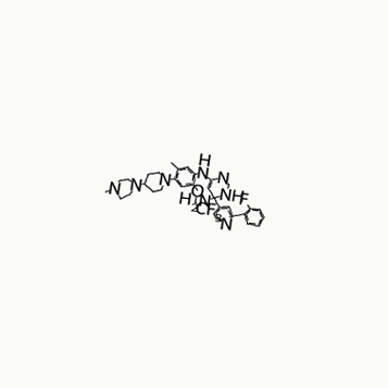 Cc1cc(NC2=CC(N)(c3ccnc(-c4ccccc4F)c3)NC=N2)c(OCC(F)(F)F)cc1N1CCC(N2CCN(C)CC2)CC1